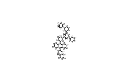 c1ccc(-c2cc(-c3cccc(-c4cccnc4)c3)nc(-c3cccc(-c4c5ccccc5c(-c5cnc6ccccc6c5)c5ccccc45)c3)n2)cc1